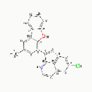 Cc1cc(C2=Cc3cc(Cl)cc4ccnc2c34)c2oc3ccccc3c2c1